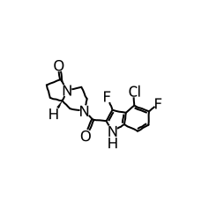 O=C(c1[nH]c2ccc(F)c(Cl)c2c1F)N1CCN2C(=O)CC[C@H]2C1